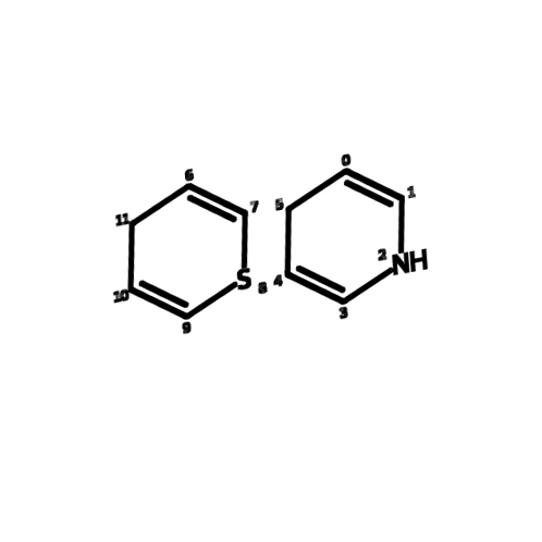 C1=CNC=CC1.C1=CSC=CC1